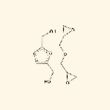 C(OCC1CO1)C1CO1.OCc1ccc(CO)o1